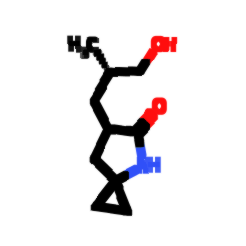 C[C@H](CO)CC1CC2(CC2)NC1=O